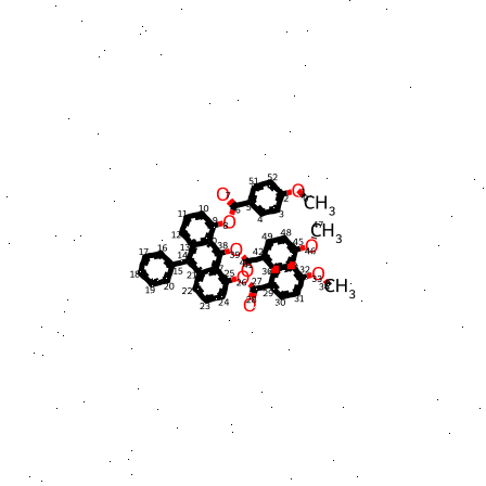 COc1ccc(C(=O)Oc2cccc3c(-c4ccccc4)c4cccc(OC(=O)c5ccc(OC)cc5)c4c(OC(=O)c4ccc(OC)cc4)c23)cc1